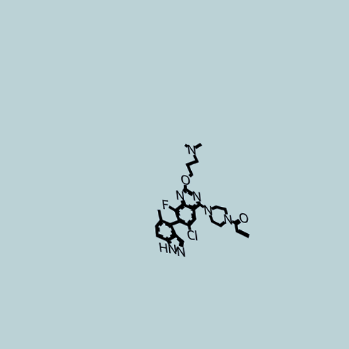 C=CC(=O)N1CCN(c2nc(OCCCN(C)C)nc3c(F)c(-c4c(C)ccc5[nH]ncc45)c(Cl)cc23)CC1